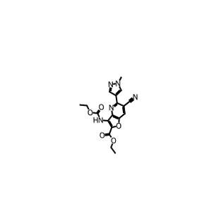 CCOC(=O)Nc1c(C(=O)OCC)oc2cc(C#N)c(-c3cnn(C)c3)nc12